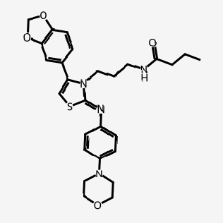 CCCC(=O)NCCCn1c(-c2ccc3c(c2)OCO3)cs/c1=N\c1ccc(N2CCOCC2)cc1